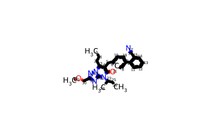 CCCc1c(Cc2ccc(-c3ccccc3C#N)cc2)c(=O)n(C(C)CC)c2nc(COC)nn12